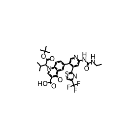 CCNC(=O)Nc1cc(-c2nc(C(F)(F)F)cs2)c(-c2ccc3c(c2)c(=O)c(C(=O)O)cn3C(C(=O)OC(C)(C)C)C(C)C)cn1